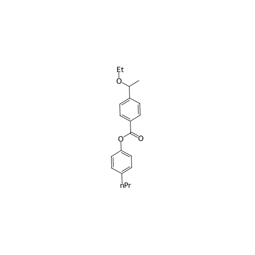 CCCc1ccc(OC(=O)c2ccc(C(C)OCC)cc2)cc1